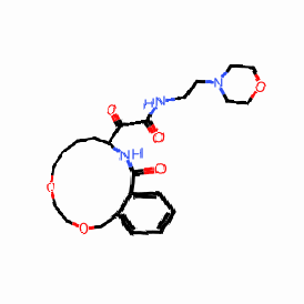 O=C(NCCN1CCOCC1)C(=O)C1CCCCOCCOCc2ccccc2C(=O)N1